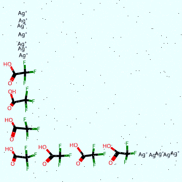 O=C(O)C(F)(F)F.O=C(O)C(F)(F)F.O=C(O)C(F)(F)F.O=C(O)C(F)(F)F.O=C(O)C(F)(F)F.O=C(O)C(F)(F)F.O=C(O)C(F)(F)F.[Ag+].[Ag+].[Ag+].[Ag+].[Ag+].[Ag+].[Ag+].[Ag+].[Ag+].[Ag+].[Ag+].[Ag+]